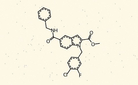 COC(=O)c1cc2cc(C(=O)NCc3ccccc3)ccc2n1Cc1ccc(Cl)c(F)c1